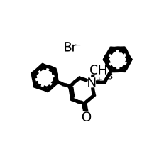 C[N+]1(Cc2ccccc2)CC(=O)C=C(c2ccccc2)C1.[Br-]